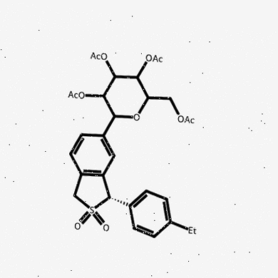 CCc1ccc([C@H]2c3cc(C4OC(COC(C)=O)C(OC(C)=O)C(OC(C)=O)C4OC(C)=O)ccc3CS2(=O)=O)cc1